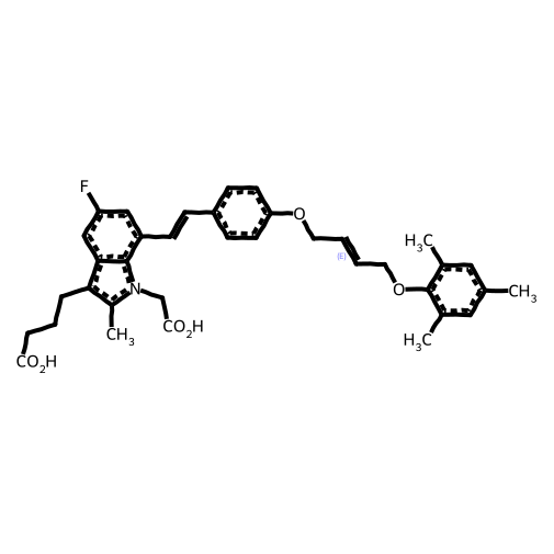 Cc1cc(C)c(OC/C=C/COc2ccc(C=Cc3cc(F)cc4c(CCCC(=O)O)c(C)n(CC(=O)O)c34)cc2)c(C)c1